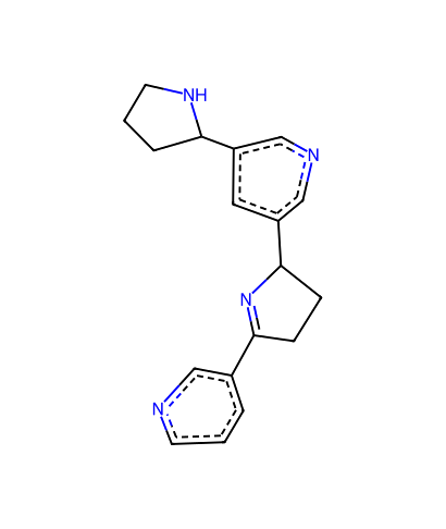 c1cncc(C2=NC(c3cncc(C4CCCN4)c3)CC2)c1